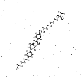 C=C(C)C(=O)OCCCCCCCCCOc1ccc(C(=O)Oc2ccc(-c3ccc(CCCCCCC)cn3)cc2)cc1